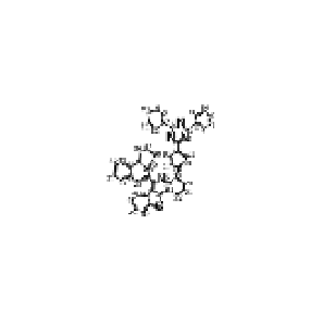 c1ccc(-c2nc(-c3ccccc3)nc(-c3ccc(-c4cccc5c4nc(-c4cc6ccccc6c6ccccc46)c4c6ccccc6oc54)cc3)n2)cc1